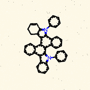 C1=Cc2c(c3c4c5ccccc5c5c6ccccc6n(-c6ccccc6)c5c4c4ccccc4c3n2-c2ccccc2)CC1